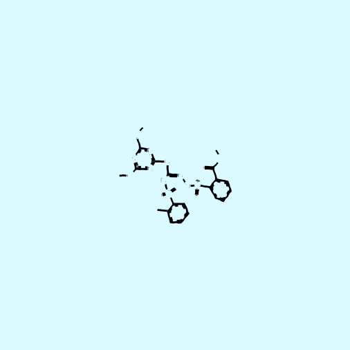 COC(=O)c1ccccc1S(=O)(=O)NN=C(Nc1nc(OC)nc(OC)n1)NS(=O)(=O)c1ccccc1Br